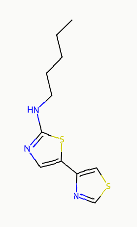 CCCCCNc1ncc(-c2cscn2)s1